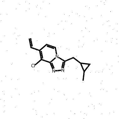 C=Cc1ccn2c(CC3CC3C)nnc2c1Cl